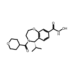 CC(C)[C@H]1c2ccc(C(=O)NO)cc2OCCN1C(=O)C1CCOCC1